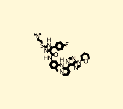 Cc1ccc(NC(=O)c2nc(SCCN(C)C)[nH]c2-c2ccc(F)cc2)cc1Nc1ncccc1-c1ncnc2c1ncn2C1CCCCO1